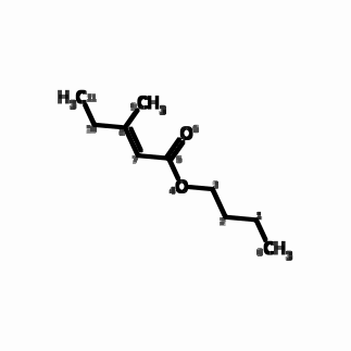 CCCCOC(=O)/C=C(\C)CC